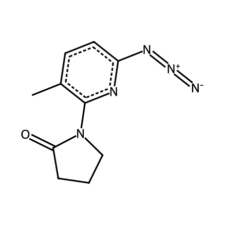 Cc1ccc(N=[N+]=[N-])nc1N1CCCC1=O